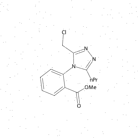 CCCc1nnc(CCl)n1-c1ccccc1C(=O)OC